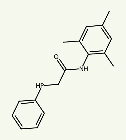 Cc1cc(C)c(NC(=O)CPc2ccccc2)c(C)c1